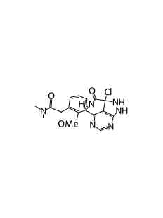 COc1c(CC(=O)N(C)C)cccc1-c1ncnc2c1C(Cl)(C(N)=O)NN2